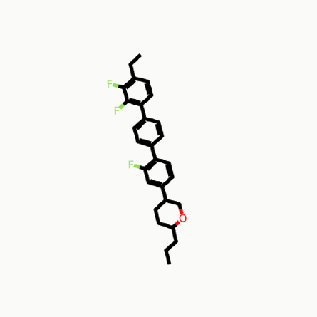 CCCC1CCC(c2ccc(-c3ccc(-c4ccc(CC)c(F)c4F)cc3)c(F)c2)CO1